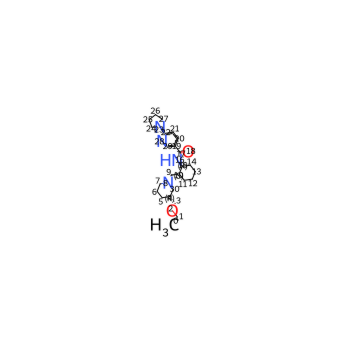 CCOC[C@@H]1CCCN(C[C@@H]2CCCC[C@H]2NC(=O)c2ccc(N3CCCC3)nc2)C1